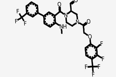 CNc1ccc(-c2cccc(C(F)(F)F)c2)cc1C(=O)N1CCN(C(=O)COc2ccc(C(F)(F)F)c(F)c2F)CC1C=O